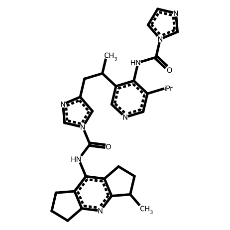 CC(C)c1cncc(C(C)Cc2cn(C(=O)Nc3c4c(nc5c3CCC5C)CCC4)cn2)c1NC(=O)n1ccnc1